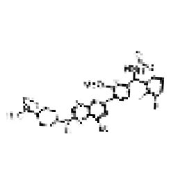 CCc1cc(-c2ccc(C(N[SH](=O)=O)c3cccc(F)c3F)nc2OC)cc2ncc(NC3CCC(N(C)C)CC3)nc12